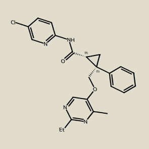 CCc1ncc(OC[C@@]2(c3ccccc3)C[C@H]2C(=O)Nc2ccc(Cl)cn2)c(C)n1